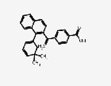 C=C(c1ccc(C(=O)O)cc1)c1ccc2ccccc2c1C1=CC=CC(C)(C)C1